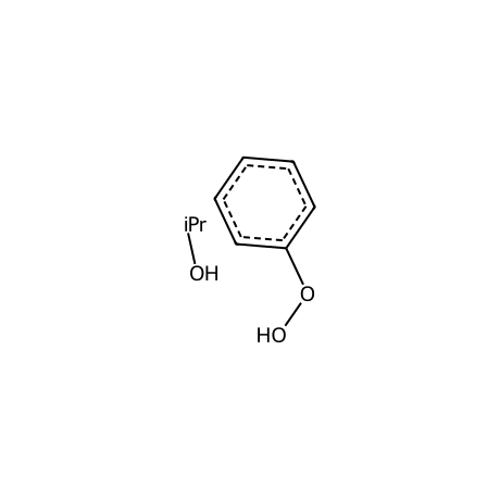 CC(C)O.OOc1ccccc1